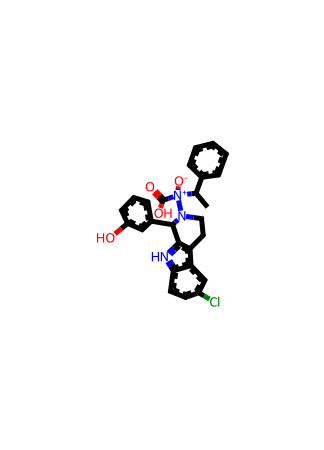 CC(c1ccccc1)[N+]([O-])(C(=O)O)N1CCc2c([nH]c3ccc(Cl)cc23)C1c1cccc(O)c1